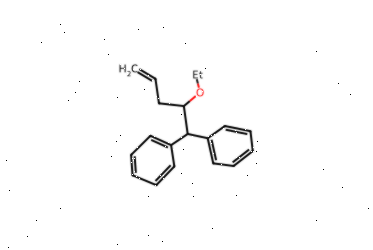 C=CCC(OCC)C(c1ccccc1)c1ccccc1